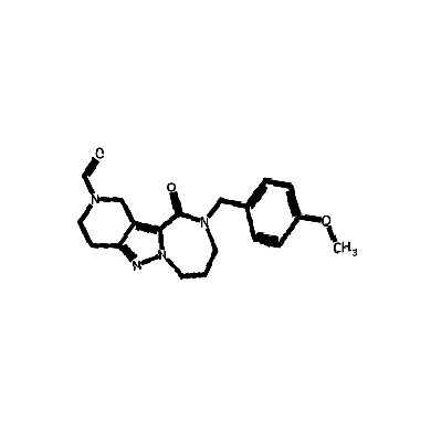 COc1ccc(CN2CCCn3nc4c(c3C2=O)CN(C=O)CC4)cc1